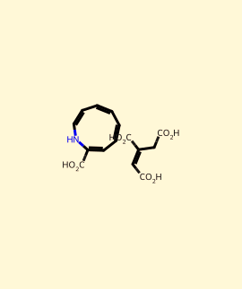 O=C(O)C=C(CC(=O)O)C(=O)O.O=C(O)c1ccccccc[nH]1